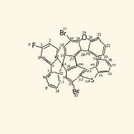 Fc1ccc2c(c1)-c1ccccc1C21c2cc(Br)c3oc4ccccc4c3c2-c2c1cc(Br)c1sc3ccccc3c21